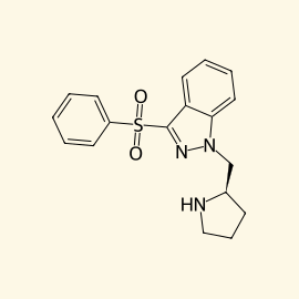 O=S(=O)(c1ccccc1)c1nn(C[C@H]2CCCN2)c2ccccc12